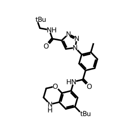 Cc1ccc(C(=O)Nc2cc(C(C)(C)C)cc3c2OCCN3)cc1-n1cc(C(=O)NCC(C)(C)C)nn1